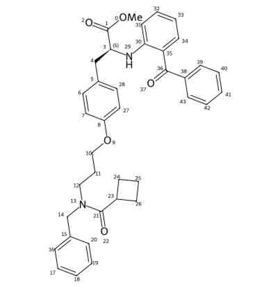 COC(=O)[C@H](Cc1ccc(OCCCN(Cc2ccccc2)C(=O)C2CCC2)cc1)Nc1ccccc1C(=O)c1ccccc1